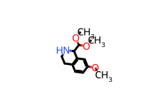 COc1ccc2c(c1)C(C(OC)OC)NCC2